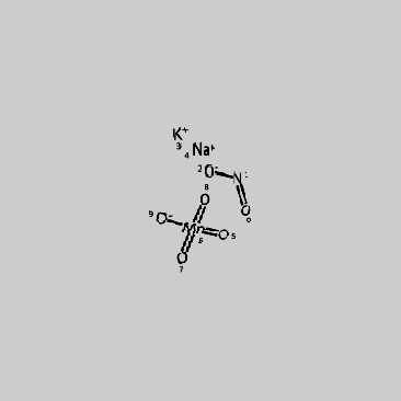 O=N[O-].[K+].[Na+].[O]=[Mn](=[O])(=[O])[O-]